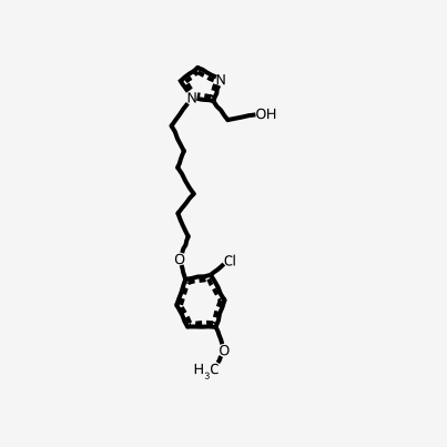 COc1ccc(OCCCCCCn2ccnc2CO)c(Cl)c1